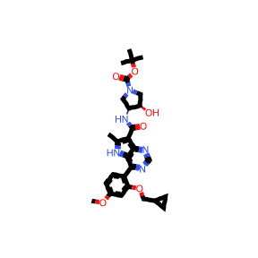 COc1ccc(-c2ncnc3c(C(=O)N[C@@H]4CN(C(=O)OC(C)(C)C)C[C@H]4O)c(C)[nH]c23)c(OCC2CC2)c1